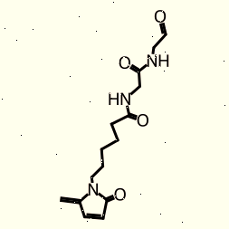 C=C1C=CC(=O)N1CCCCCC(=O)NCC(=O)NCC=O